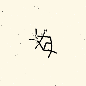 CO[C@@H]1CC2CC(C2(C)C)[C@]1(C)OC